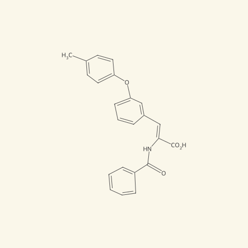 Cc1ccc(Oc2cccc(C=C(NC(=O)c3ccccc3)C(=O)O)c2)cc1